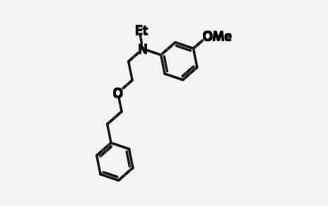 CCN(CCOCCc1ccccc1)c1cccc(OC)c1